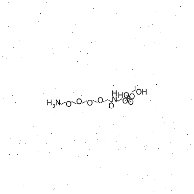 [CH2][C@@H](O)COP(=O)(O)OCCNC(=O)CCOCCOCCOCCOCCN